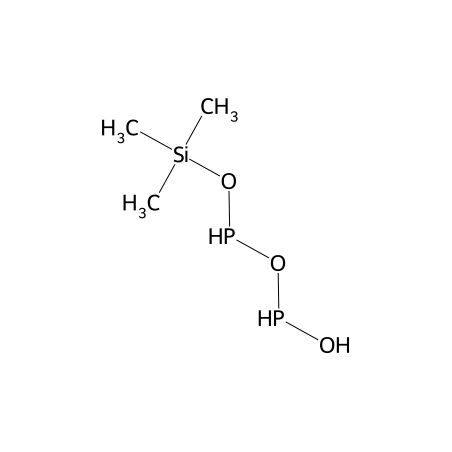 C[Si](C)(C)OPOPO